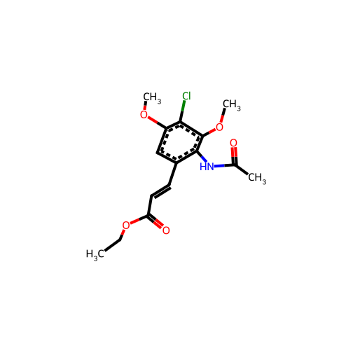 CCOC(=O)C=Cc1cc(OC)c(Cl)c(OC)c1NC(C)=O